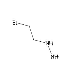 [CH2]CCCN[NH]